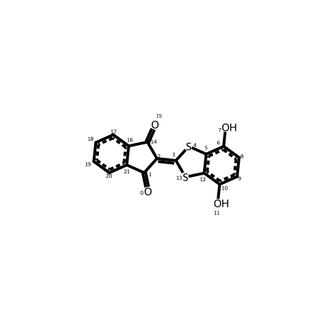 O=C1C(=C2Sc3c(O)ccc(O)c3S2)C(=O)c2ccccc21